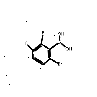 OB(O)c1c(Br)ccc(F)c1F